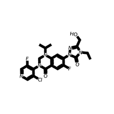 CCn1c(CO)nn(-c2cc3c(cc2F)C(=O)N(c2c(F)cncc2Cl)CN3C(C)C)c1=O